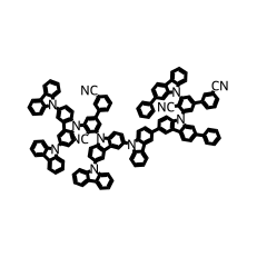 N#Cc1cccc(-c2cc(-n3c4ccc(-n5c6ccccc6c6ccccc65)cc4c4cc(-n5c6ccccc6c6ccccc65)ccc43)c(C#N)c(-n3c4ccc(-n5c6ccccc6c6ccccc65)cc4c4cc(-n5c6ccccc6c6cc(-c7ccc8c(c7)c7ccc(-c9ccccc9)cc7n8-c7cc(-c8cccc(C#N)c8)cc(-n8c9ccccc9c9ccc(-c%10ccccc%10)cc98)c7C#N)ccc65)ccc43)c2)c1